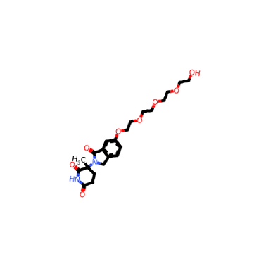 CC1(N2Cc3ccc(OCCOCCOCCOCCO)cc3C2=O)CCC(=O)NC1=O